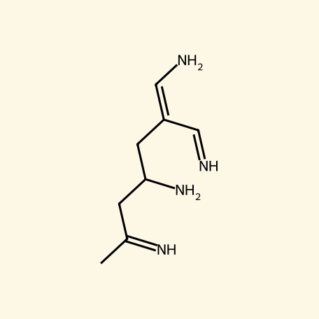 CC(=N)CC(N)C/C(C=N)=C/N